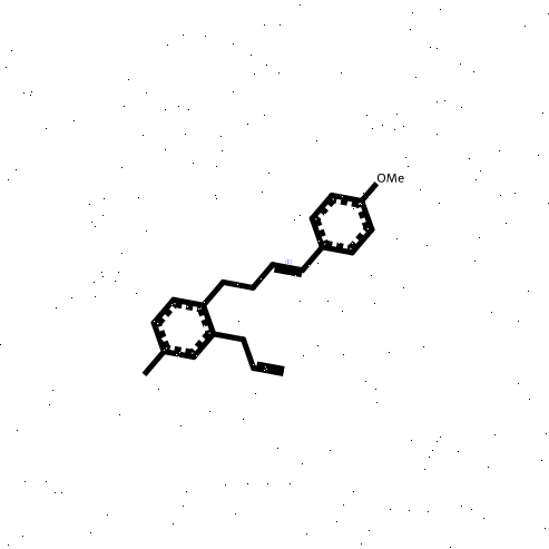 C=CCc1cc(C)ccc1CC/C=C/c1ccc(OC)cc1